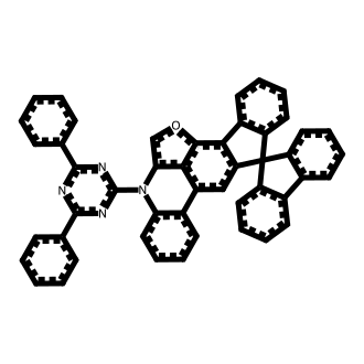 c1ccc(-c2nc(-c3ccccc3)nc(N3c4ccccc4-c4cc5c(c6occ3c46)-c3ccccc3C53c4ccccc4-c4ccccc43)n2)cc1